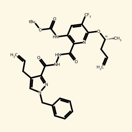 C=CCc1cn(Cc2ccccc2)nc1C(=O)NNC(=O)c1nc(O[C@H](C)CC=C)c(C(F)(F)F)cc1NC(=O)OC(C)(C)C